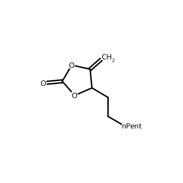 C=C1OC(=O)OC1CCCCCCC